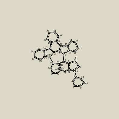 c1ccc(-n2cnc3c(-n4c5ccccc5c5c6ccccc6c6c7ccccc7n(-c7ccccc7)c6c54)cccc32)cc1